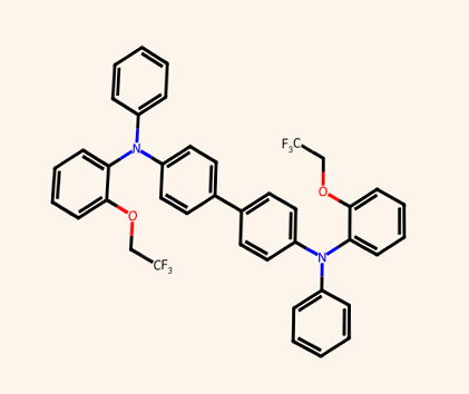 FC(F)(F)COc1ccccc1N(c1ccccc1)c1ccc(-c2ccc(N(c3ccccc3)c3ccccc3OCC(F)(F)F)cc2)cc1